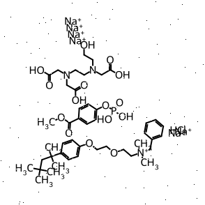 CC(C)(C)CC(C)(C)c1ccc(OCCOCC[N+](C)(C)Cc2ccccc2)cc1.COC(=O)c1ccc(OP(=O)(O)O)cc1.Cl.O=C(O)CN(CCO)CCN(CC(=O)O)CC(=O)O.[Na+].[Na+].[Na+].[Na+].[Na+].[Na+]